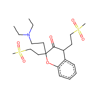 CCN(CC)CCC1(CCS(C)(=O)=O)Oc2ccccc2C(CCS(C)(=O)=O)C1=O